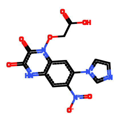 O=C(O)COn1c(=O)c(=O)[nH]c2cc([N+](=O)[O-])c(-n3ccnc3)cc21